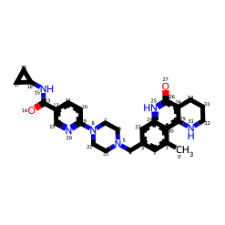 Cc1cc(CN2CCN(c3ccc(C(=O)NC4CC4)cn3)CC2)cc2[nH]c(=O)c3c(c12)NCCC3